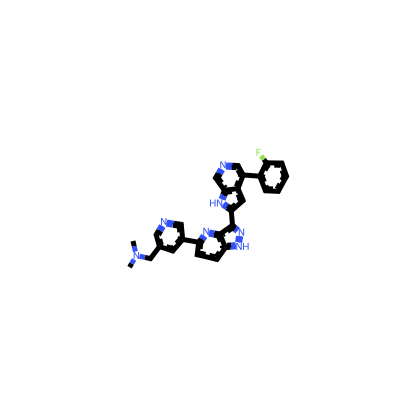 CN(C)Cc1cncc(-c2ccc3[nH]nc(-c4cc5c(-c6ccccc6F)cncc5[nH]4)c3n2)c1